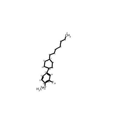 CCCCCCCC1CCC(c2ccc(OC)c(F)c2)CC1